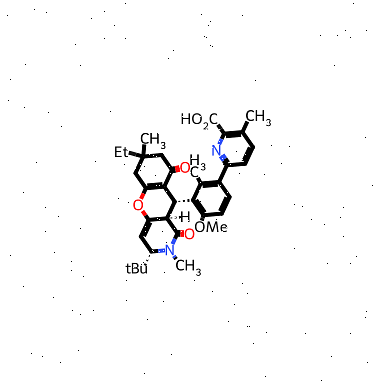 CCC1(C)CC(=O)C2=C(C1)OC1=C[C@@H](C(C)(C)C)N(C)C(=O)[C@@H]1[C@H]2c1c(OC)ccc(-c2ccc(C)c(C(=O)O)n2)c1C